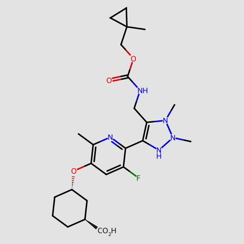 Cc1nc(C2=C(CNC(=O)OCC3(C)CC3)N(C)N(C)N2)c(F)cc1O[C@H]1CCC[C@H](C(=O)O)C1